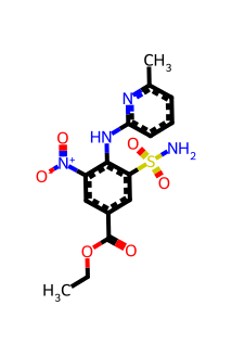 CCOC(=O)c1cc([N+](=O)[O-])c(Nc2cccc(C)n2)c(S(N)(=O)=O)c1